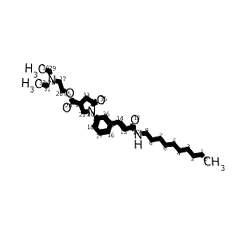 CCCCCCCCCCNC(=O)/C=C/c1cccc(N2CC(C(=O)OCCN(CC)CC)CC2=O)c1